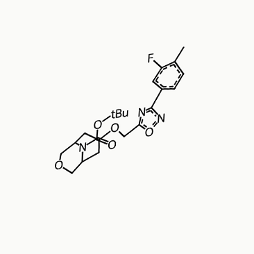 Cc1ccc(-c2noc(COC3CC4COCC(C3)N4C(=O)OC(C)(C)C)n2)cc1F